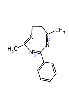 C/C1=N/C(c2ccccc2)=N\C(C)=N\CC1